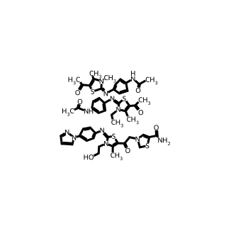 CC(=O)Nc1ccc(N=c2sc(C(C)=O)c(C)n2C)cc1.CCn1c(C)c(C(C)=O)sc1=Nc1ccc(NC(C)=O)cc1.Cc1c(C(=O)CN2C=C(C(N)=O)SC2)sc(=Nc2ccc(-n3cccn3)cc2)n1CCO